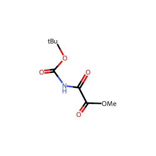 COC(=O)C(=O)NC(=O)OC(C)(C)C